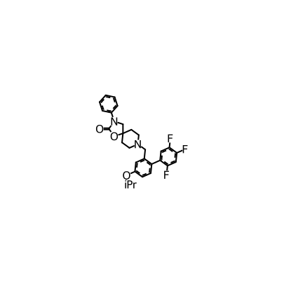 CC(C)Oc1ccc(-c2cc(F)c(F)cc2F)c(CN2CCC3(CC2)CN(c2ccccc2)C(=O)O3)c1